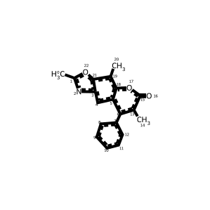 Cc1nc2cc3c(-c4ccccc4)c(C)c(=O)oc3c(C)c2o1